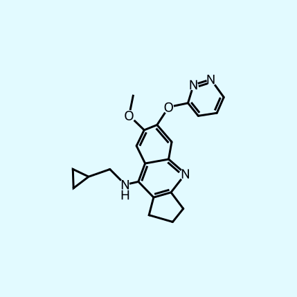 COc1cc2c(NCC3CC3)c3c(nc2cc1Oc1cccnn1)CCC3